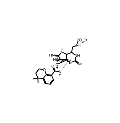 CCOC(=O)NCC1NC(=N)N2C[C@H](NC(=O)c3cccc4c3OCCC4(C)C)C(O)(O)C23NC(=N)NC13